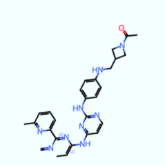 C=N/C(=N\C(=C/C)Nc1ccnc(Nc2ccc(NCC3CN(C(C)=O)C3)cc2)n1)c1cccc(C)n1